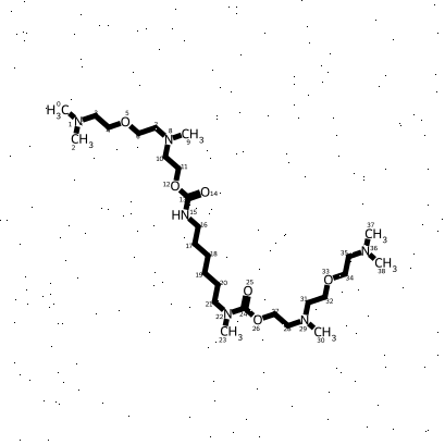 CN(C)CCOCCN(C)CCOC(=O)NCCCCCCN(C)C(=O)OCCN(C)CCOCCN(C)C